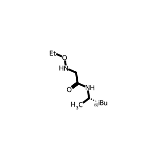 CCONCC(=O)NC(C)[C@@H](C)CC